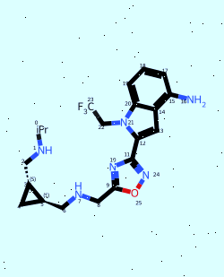 CC(C)NC[C@H]1C[C@@H]1CNCc1nc(-c2cc3c(N)cccc3n2CC(F)(F)F)no1